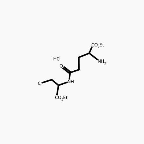 CCOC(=O)C(N)CCC(=O)NC(CCl)C(=O)OCC.Cl